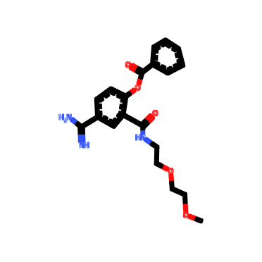 COCCOCCNC(=O)c1cc(C(=N)N)ccc1OC(=O)c1ccccc1